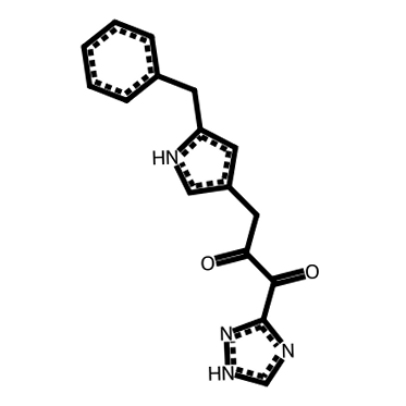 O=C(Cc1c[nH]c(Cc2ccccc2)c1)C(=O)c1nc[nH]n1